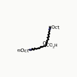 CCCCCCCC/C=C/CCCCCCCCCCC(C(=O)O)C(=O)CCCCCCCCC/C=C/CCCCCCCC